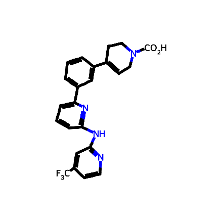 O=C(O)N1CC=C(c2cccc(-c3cccc(Nc4cc(C(F)(F)F)ccn4)n3)c2)CC1